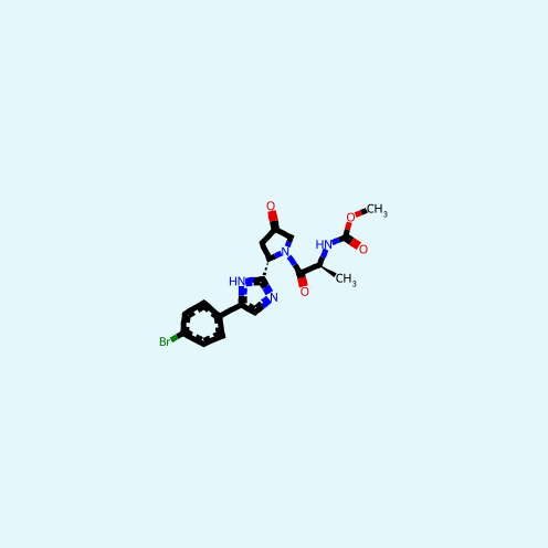 COC(=O)N[C@@H](C)C(=O)N1CC(=O)C[C@H]1c1ncc(-c2ccc(Br)cc2)[nH]1